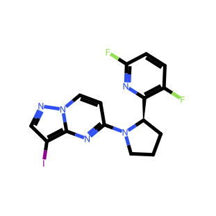 Fc1ccc(F)c([C@H]2CCCN2c2ccn3ncc(I)c3n2)n1